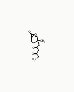 CCC(=O)CC(=O)OC1(C)CCC2CC1OC2=O